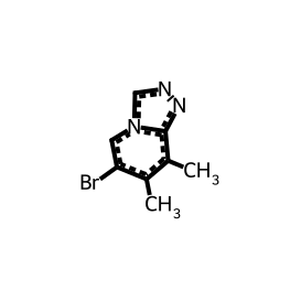 Cc1c(Br)cn2cnnc2c1C